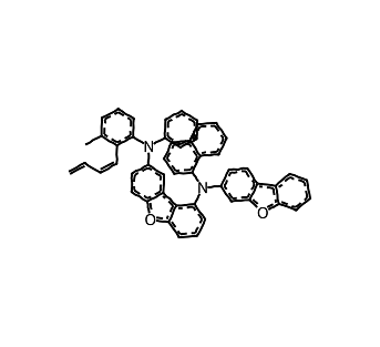 C=C/C=C\c1c(C)cccc1N(c1ccccc1)c1ccc2oc3cccc(N(c4ccc5c(c4)oc4ccccc45)c4cccc5ccccc45)c3c2c1